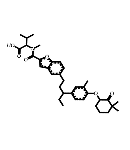 CCC(CCc1ccc2oc(C(=O)N(C)C(C(=O)O)C(C)C)cc2c1)c1ccc(OC2CCCC(C)(C)C2=O)c(C)c1